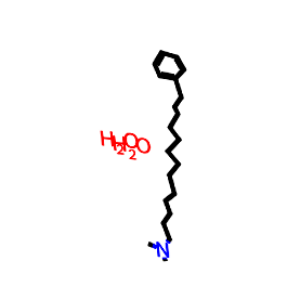 CN(C)CCCCCCCCCCCCCc1ccccc1.O.O